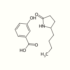 CCCCC1CCC(=O)N1.O=C(O)c1cccc(O)c1